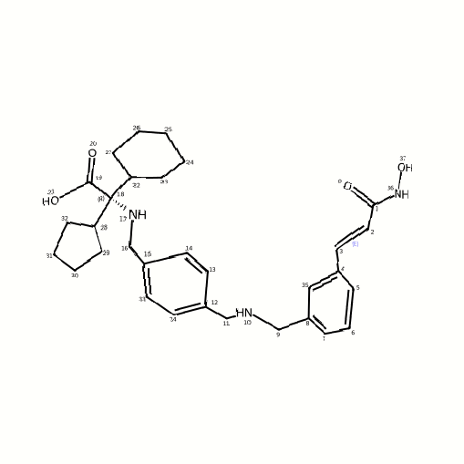 O=C(/C=C/c1cccc(CNCc2ccc(CN[C@](C(=O)O)(C3CCCCC3)C3CCCC3)cc2)c1)NO